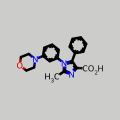 Cc1nc(C(=O)O)c(-c2ccccc2)n1-c1cccc(N2CCOCC2)c1